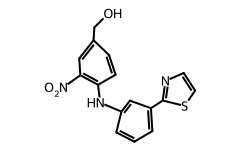 O=[N+]([O-])c1cc(CO)ccc1Nc1cccc(-c2nccs2)c1